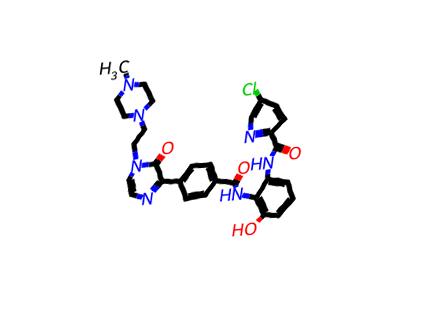 CN1CCN(CCn2ccnc(-c3ccc(C(=O)Nc4c(O)cccc4NC(=O)c4ccc(Cl)cn4)cc3)c2=O)CC1